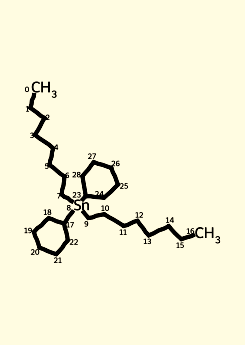 CCCCCCC[CH2][Sn]([CH2]CCCCCCC)([CH]1CCCCC1)[CH]1CCCCC1